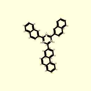 c1ccc2cc(-c3nc(-c4ccc5ccccc5c4)nc(-c4ccc5c(ccc6ccccc65)c4)n3)ccc2c1